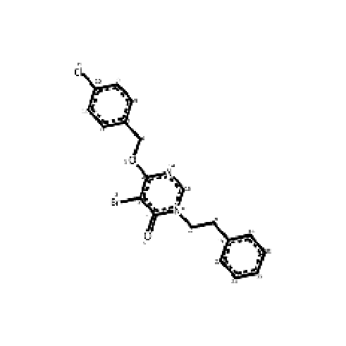 O=c1c(Br)c(OCc2ccc(Cl)cc2)ncn1CCc1ccccc1